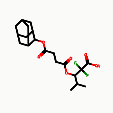 CC(C)C(OC(=O)CCC(=O)OC1C2CC3CC(C2)CC1C3)C(F)(F)C(=O)O